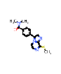 CSc1nccn2c(-c3ccc(C(=O)N(C)C)cc3)cnc12